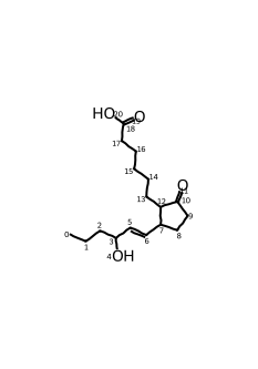 CCCC(O)/C=C/C1CCC(=O)C1CCCCCC(=O)O